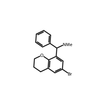 CNC(c1ccccc1)c1cc(Br)cc2c1OCCC2